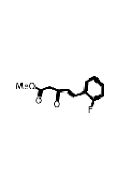 COC(=O)CC(=O)C=Cc1ccccc1F